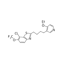 CCOc1ccncc1CCCCc1nc2ccc(OC(F)(F)F)c(Cl)c2s1